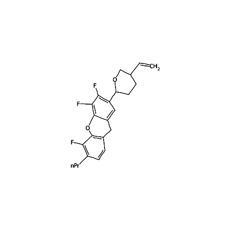 C=CC1CCC(c2cc3c(c(F)c2F)Oc2c(ccc(CCC)c2F)C3)OC1